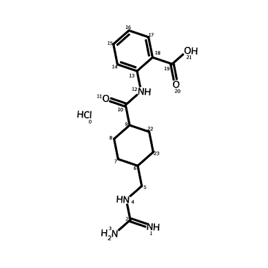 Cl.N=C(N)NCC1CCC(C(=O)Nc2ccccc2C(=O)O)CC1